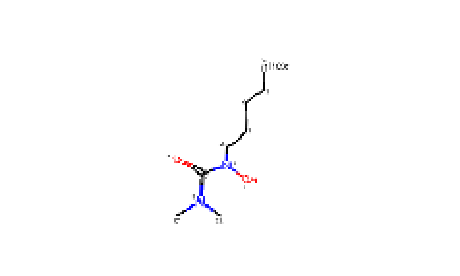 CCCCCCCCCCN(O)C(=O)N(C)C